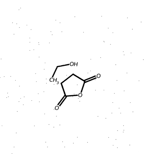 CCO.O=C1CCC(=O)O1